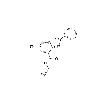 CCOC(=O)c1cc(Cl)nn2cc(-c3ccccc3)nc12